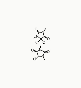 CN1C(=O)C(Cl)N(C)C1=O.CN1C(=O)N(C)C(Cl)(Cl)C1=O